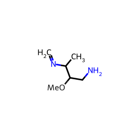 C=NC(C)C(CN)OC